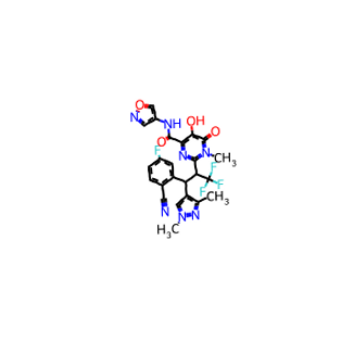 Cc1nn(C)cc1C(c1cc(F)ccc1C#N)C(c1nc(C(=O)Nc2cnoc2)c(O)c(=O)n1C)C(F)(F)F